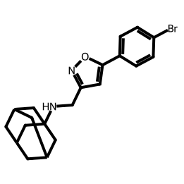 Brc1ccc(-c2cc(CNC34CC5CC(CC(C5)C3)C4)no2)cc1